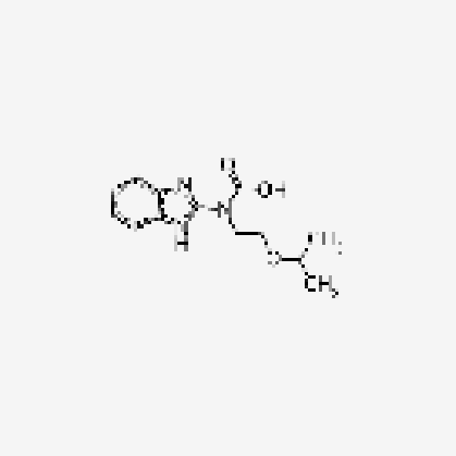 CC(C)OCCN(C(=O)O)c1nc2ccccc2[nH]1